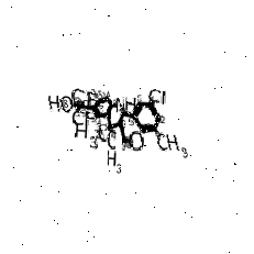 Cc1cc(Cl)cc2c1OCC1C2Nc2ccc(C(O)(C(F)(F)F)C(F)(F)F)cc2C1(C)C